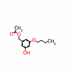 CCCCOc1cc(O)cc(COC(C)=O)c1